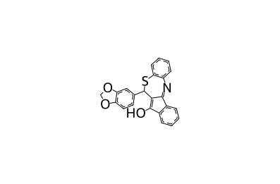 OC1=C2C(=Nc3ccccc3SC2c2ccc3c(c2)OCO3)c2ccccc21